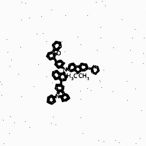 CC1(C)c2cc(C3=CCCC=C3)ccc2-c2ccc(N(c3ccc(-c4cccc5c4oc4ccccc45)cc3)c3ccc(-c4ccc5c(c4)c4ccccc4n5-c4ccccc4)c4ccccc34)cc21